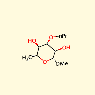 CCCO[C@H]1[C@@H](O)[C@H](OC)O[C@@H](C)[C@H]1O